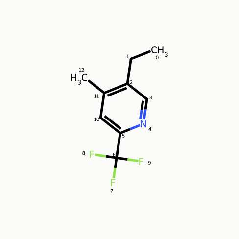 CCc1cnc(C(F)(F)F)cc1C